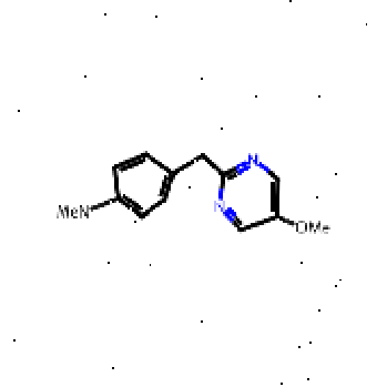 CNc1ccc(Cc2ncc(OC)cn2)cc1